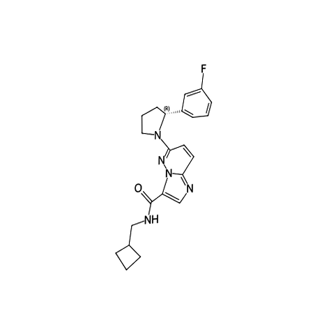 O=C(NCC1CCC1)c1cnc2ccc(N3CCC[C@@H]3c3cccc(F)c3)nn12